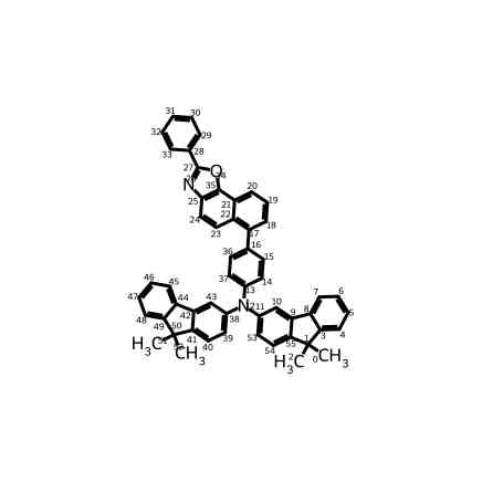 CC1(C)c2ccccc2-c2cc(N(c3ccc(-c4cccc5c4ccc4nc(-c6ccccc6)oc45)cc3)c3ccc4c(c3)-c3ccccc3C4(C)C)ccc21